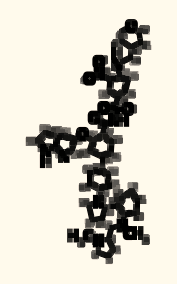 CN(CC1CCCN1C)c1ccccc1C1CCCN1c1ccc(-c2ccc(C(=O)NS(=O)(=O)c3ccc(NCC4CCOCC4)c([N+](=O)[O-])c3)c(Oc3cnc4[nH]ccc4c3)c2)cc1